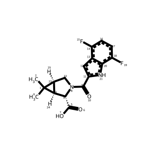 CC1(C)[C@@H]2[C@@H](C(=O)O)N(C(=O)c3cc4c(F)ccc(F)c4[nH]3)C[C@@H]21